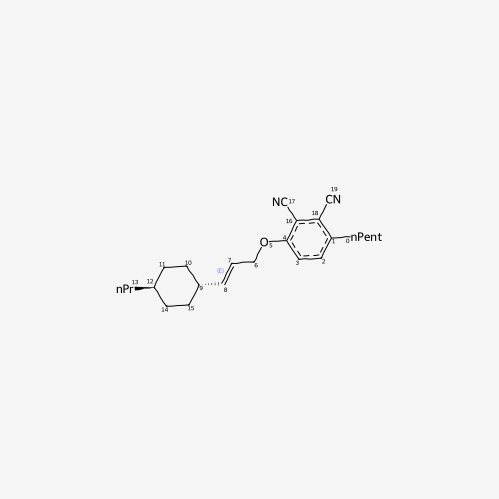 CCCCCc1ccc(OC/C=C/[C@H]2CC[C@H](CCC)CC2)c(C#N)c1C#N